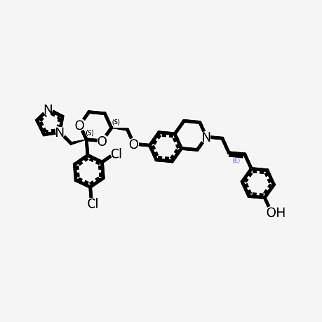 Oc1ccc(/C=C/CN2CCc3cc(OC[C@@H]4CCO[C@@](Cn5ccnc5)(c5ccc(Cl)cc5Cl)O4)ccc3C2)cc1